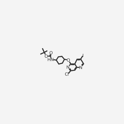 CC(C)(C)OC(=O)NC1CCC(Oc2nc(Cl)cc3ncc(I)cc23)CC1